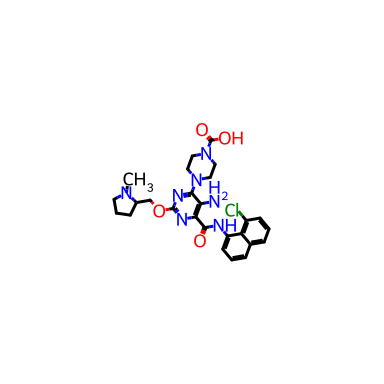 CN1CCCC1COc1nc(C(=O)Nc2cccc3cccc(Cl)c23)c(N)c(N2CCN(C(=O)O)CC2)n1